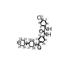 O=C(Nc1ccc(Cl)cc1)Nc1ccc(C(=O)N2CCC(N3CCOCC3)CC2)cc1